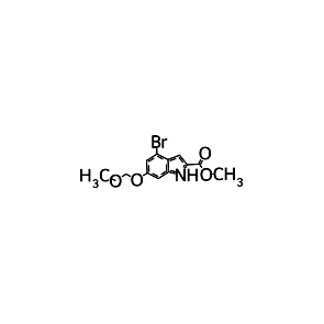 COCOc1cc(Br)c2cc(C(=O)OC)[nH]c2c1